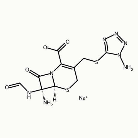 Nn1nnnc1SCC1=C(C(=O)[O-])N2C(=O)[C@](N)(NC=O)[C@@H]2SC1.[Na+]